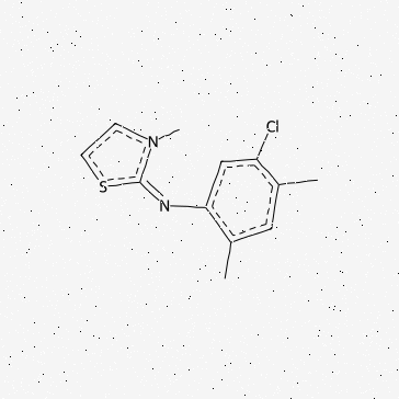 Cc1cc(C)c(N=c2sccn2C)cc1Cl